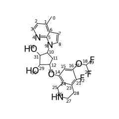 Cc1ccnc2c1ccn2C1CC(Oc2cc(OC(F)F)c(F)c3c2CNCC3)C(O)C1O